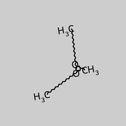 CCCCCCCCCCCCCCCCOc1cc(CC)cc(OCCCCCCCCCCCCCCCC)c1